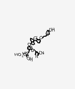 C[C@@](CO)(NCc1ccc(O[C@H]2CCc3c(-c4cccc(OCCCN5CC[C@@H](O)C5)c4Cl)cccc32)nc1OCc1cncc(C#N)c1)C(=O)O